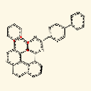 c1ccc(-c2ccc(-c3nc(-c4ccccc4)nc(-c4cccc5ccc6ccc7ccccc7c6c45)n3)cc2)cc1